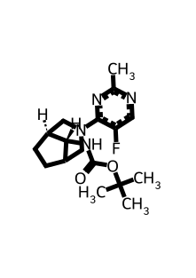 Cc1ncc(F)c(N2CC3CC[C@@H](C2)[C@@H]3NC(=O)OC(C)(C)C)n1